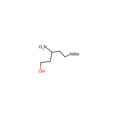 CNCCC(CCO)[N+](=O)[O-]